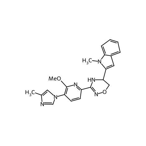 COc1nc(C2=NOCC(c3cc4ccccc4n3C)N2)ccc1-n1cnc(C)c1